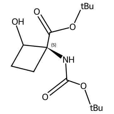 CC(C)(C)OC(=O)N[C@@]1(C(=O)OC(C)(C)C)CCC1O